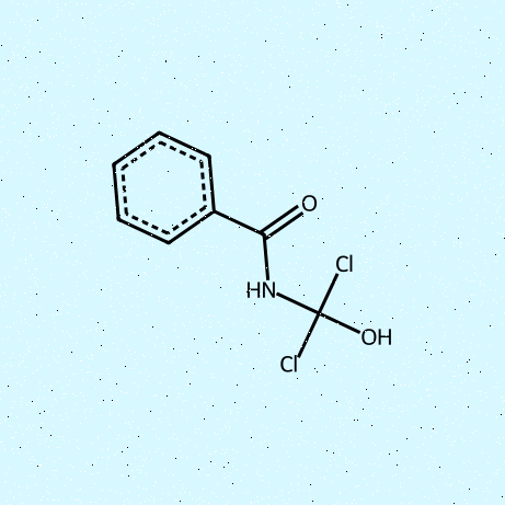 O=C(NC(O)(Cl)Cl)c1ccccc1